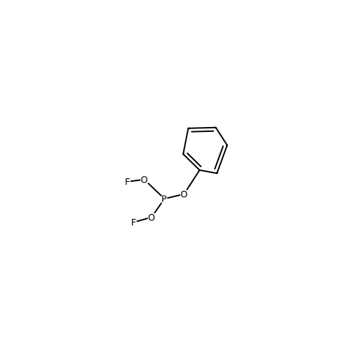 FOP(OF)Oc1ccccc1